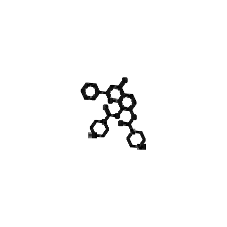 O=C(Oc1ccc2c(=O)cc(-c3ccccc3)oc2c1OC(=O)N1CCNCC1)N1CCNCC1